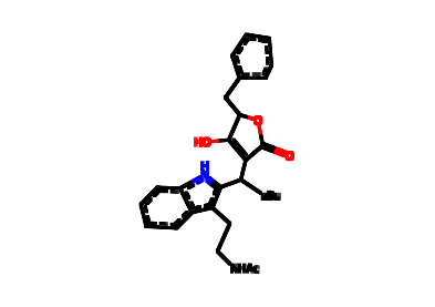 CCCCC(C1=C(O)C(Cc2ccccc2)OC1=O)c1[nH]c2ccccc2c1CCNC(C)=O